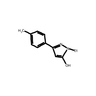 CCn1nc(-c2ccc(C)cc2)cc1O